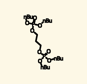 CCCCOP(=O)(OCCCC)OCCCOP(=O)(OCCCC)OCCCC